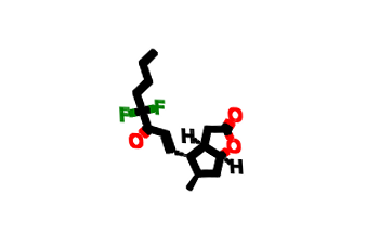 CCCCC(F)(F)C(=O)C=C[C@@H]1[C@H]2CC(=O)O[C@H]2C[C@H]1C